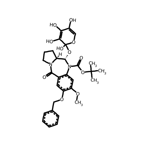 COc1cc2c(cc1OCc1ccccc1)C(=O)N1CCC[C@H]1[C@H](OC1(O)OC=C(O)C(O)=C1O)N2C(=O)OC(C)(C)C